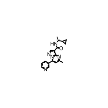 Cc1cc(-c2cccnc2)n2ncc(C(=O)N[C@@H](C)C3CC3)c2n1